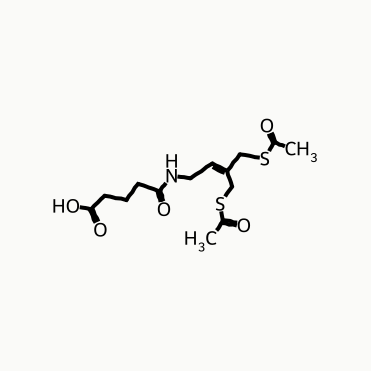 CC(=O)SCC(=CCNC(=O)CCCC(=O)O)CSC(C)=O